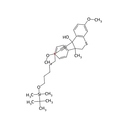 COc1ccc(C2(C)CSc3cc(OC)ccc3C2(O)C#CCCCCCCO[Si](C)(C)C(C)(C)C)cc1